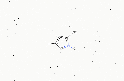 [C-]#[N+]c1cc(C)cn1C